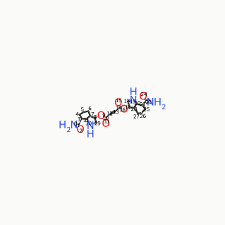 NC(=O)c1cccc2c(OC(=O)C#CC(=O)Oc3c[nH]c4c(C(N)=O)cccc34)c[nH]c12